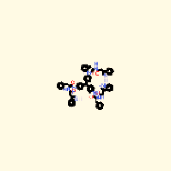 O=C(Cc1c[nH]c2ccccc12)N[C@@H](Cc1ccccc1)C(=O)Nc1ccc(C(c2ccc(NC(=O)[C@H](Cc3ccccc3)NC(=O)Cc3c[nH]c4ccccc34)cc2)c2ccc(NC(=O)[C@H](Cc3ccccc3)NC(=O)Cc3c[nH]c4ccccc34)cc2)cc1